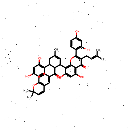 CC(C)=CCc1c(-c2ccc(O)cc2O)oc2c(C3C=C(C)CC(c4ccc(O)cc4O)C3C(=O)c3ccc4c(c3)C=CC(C)(C)O4)c(O)cc(O)c2c1=O